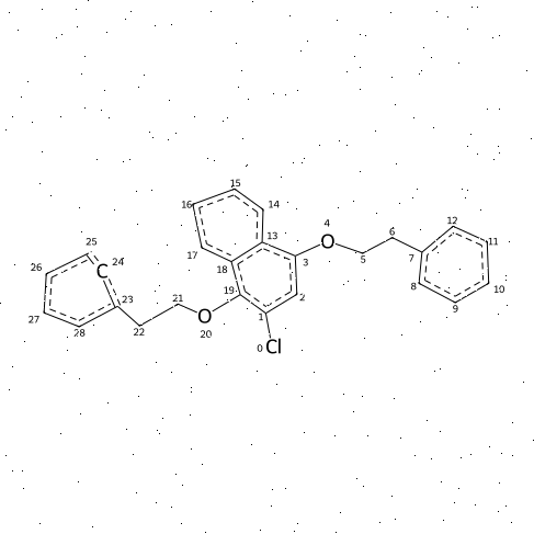 Clc1cc(OCCc2ccccc2)c2ccccc2c1OCCc1ccccc1